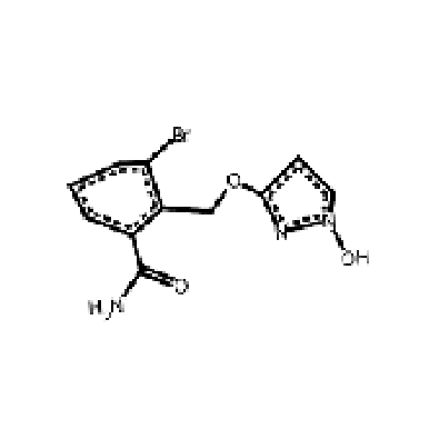 NC(=O)c1cccc(Br)c1COc1ccn(O)n1